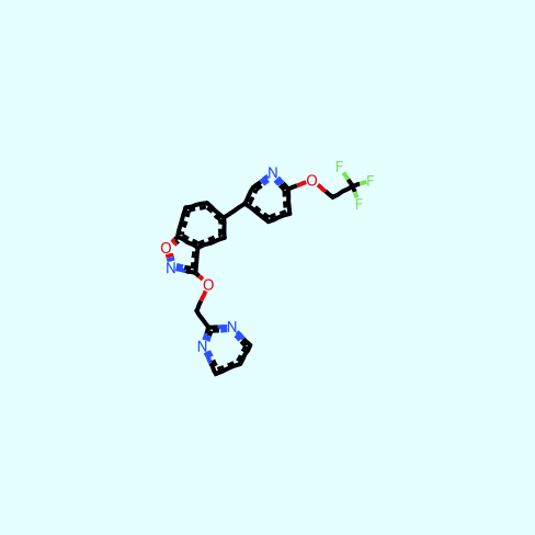 FC(F)(F)COc1ccc(-c2ccc3onc(OCc4ncccn4)c3c2)cn1